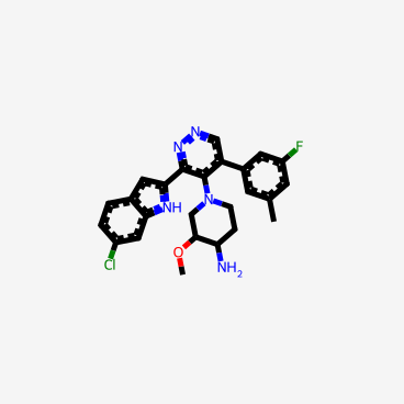 COC1CN(c2c(-c3cc(C)cc(F)c3)cnnc2-c2cc3ccc(Cl)cc3[nH]2)CCC1N